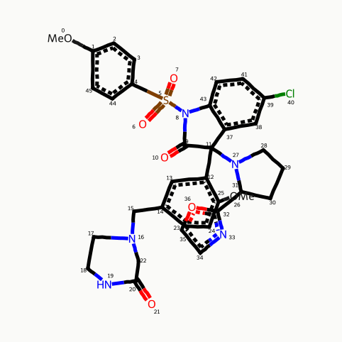 COc1ccc(S(=O)(=O)N2C(=O)C(c3cc(CN4CCNC(=O)C4)ccc3OC)(N3CCCC3c3ncco3)c3cc(Cl)ccc32)cc1